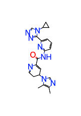 Cc1ncn(C2C=C(C(=O)Nc3cccc(-c4nncn4C4CC4)n3)N=CC2)c1C